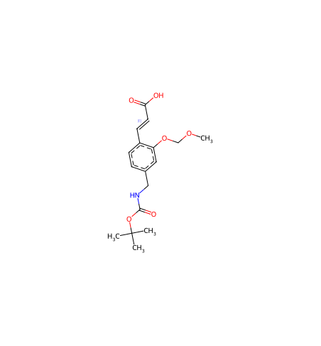 COCOc1cc(CNC(=O)OC(C)(C)C)ccc1/C=C/C(=O)O